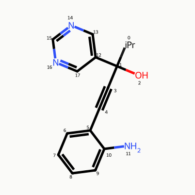 CC(C)C(O)(C#Cc1ccccc1N)c1cncnc1